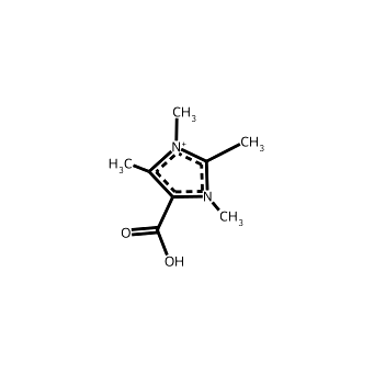 Cc1c(C(=O)O)n(C)c(C)[n+]1C